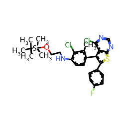 Cc1c(-c2c(-c3ccc(F)cc3)sc3ncnc(Cl)c23)ccc(NCCO[Si](C)(C)C(C)(C)C)c1Cl